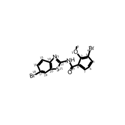 COc1c(Br)cccc1C(=O)Nc1nc2ccc(Br)cc2s1